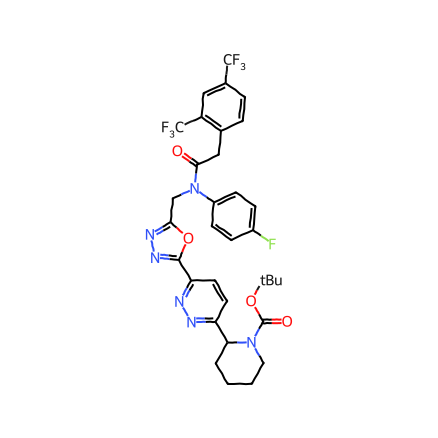 CC(C)(C)OC(=O)N1CCCCC1c1ccc(-c2nnc(CN(C(=O)Cc3ccc(C(F)(F)F)cc3C(F)(F)F)c3ccc(F)cc3)o2)nn1